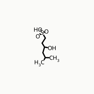 CC(C)CC(O)CCS(=O)(=O)O